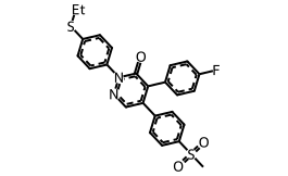 CCSc1ccc(-n2ncc(-c3ccc(S(C)(=O)=O)cc3)c(-c3ccc(F)cc3)c2=O)cc1